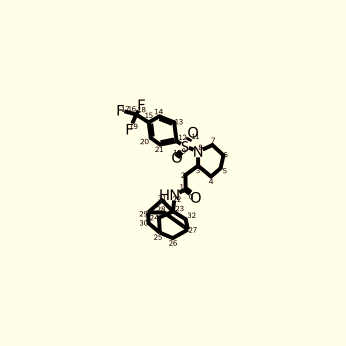 O=C(CC1CCCCN1S(=O)(=O)c1ccc(C(F)(F)F)cc1)NC12CC3CC(CC(C3)C1)C2